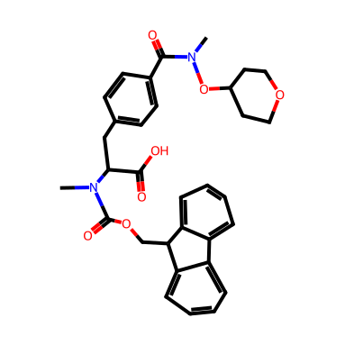 CN(OC1CCOCC1)C(=O)c1ccc(CC(C(=O)O)N(C)C(=O)OCC2c3ccccc3-c3ccccc32)cc1